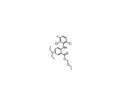 CCOCC.CCOCOC(=O)c1ccccc1Nc1c(Cl)ccc(C)c1Cl